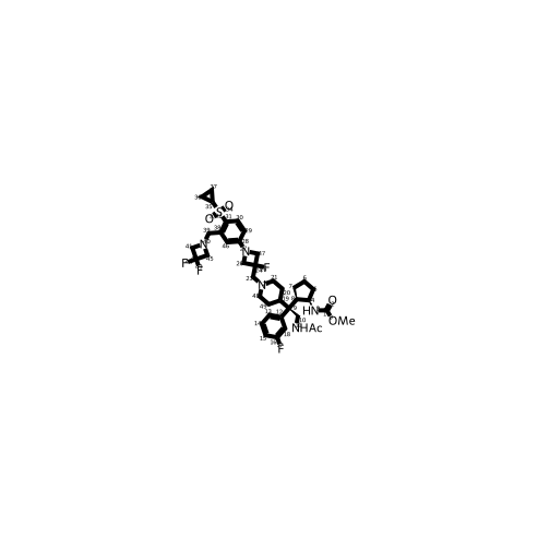 COC(=O)N[C@H]1CCC[C@@H]1[C@](CNC(C)=O)(c1cccc(F)c1)C1CCN(CC2(F)CN(c3ccc(S(=O)(=O)C4CC4)c(CN4CC(F)(F)C4)c3)C2)CC1